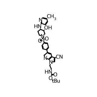 Cc1ccc(N[C@@H]2CCN(S(=O)(=O)c3ccc(-c4cnc5c(c4)c(C#N)cn5CCNC(=O)OC(C)(C)C)cc3)C[C@@H]2O)nc1